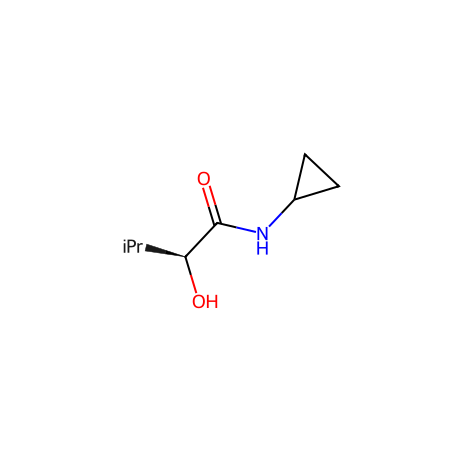 CC(C)[C@H](O)C(=O)NC1CC1